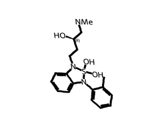 CNC[C@H](O)CCN1c2ccccc2N(c2ccccc2C)S1(O)O